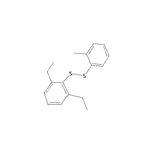 CCc1cccc(CC)c1SSc1ccccc1C